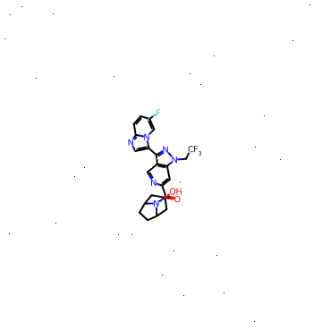 O=C(c1cc2c(cn1)c(-c1cnc3ccc(F)cn13)nn2CC(F)(F)F)N1C2CCC1CC(O)C2